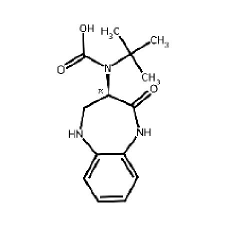 CC(C)(C)N(C(=O)O)[C@@H]1CNc2ccccc2NC1=O